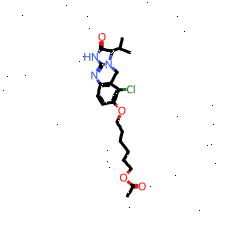 CC(=O)OCCCCCCOc1ccc2c(c1Cl)CN1C(=N2)NC(=O)C1C(C)C